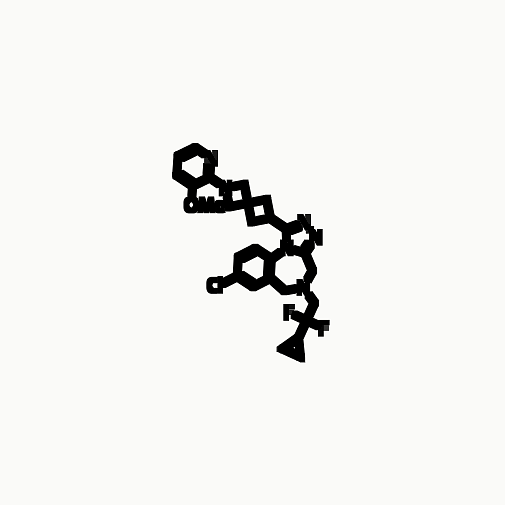 COc1cccnc1N1CC2(CC(c3nnc4n3-c3ccc(Cl)cc3CN(CC(F)(F)C3CC3)C4)C2)C1